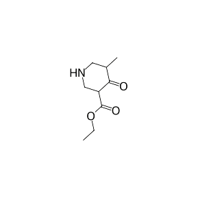 CCOC(=O)C1CNCC(C)C1=O